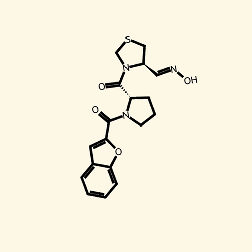 O=C([C@@H]1CCCN1C(=O)c1cc2ccccc2o1)N1CSC[C@H]1C=NO